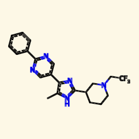 Cc1[nH]c(C2CCCN(CC(F)(F)F)C2)nc1-c1cnc(-c2ccccc2)nc1